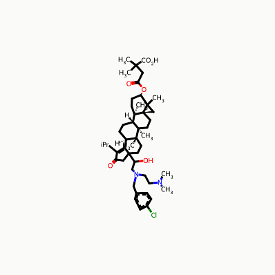 CC(C)C1=C2[C@H]3CC[C@@H]4[C@@]5(C)CC[C@H](OC(=O)CC(C)(C)C(=O)O)C6(C)C[C@]65CC[C@@]4(C)[C@]3(C)CCC2(C(O)CN(CCN(C)C)Cc2ccc(Cl)cc2)CC1=O